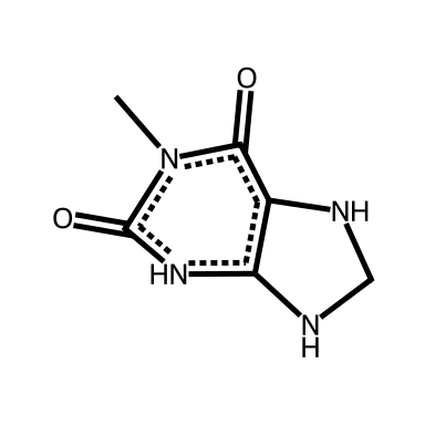 Cn1c(=O)[nH]c2c(c1=O)NCN2